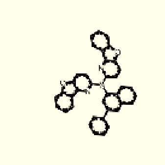 c1ccc(-c2cc(N(c3ccc4oc5ccccc5c4n3)c3ccc4oc5ccccc5c4n3)c3ccccc3c2)cc1